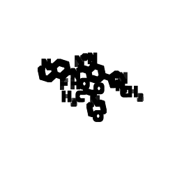 C[C@H](Oc1cc(-c2cnn(C)c2)cc2ncnc(Nc3ccc4ncccc4c3F)c12)C(=O)N1CCOCC1